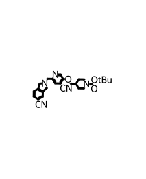 CC(C)(C)OC(=O)N1CCC(COc2cnc(CN3Cc4ccc(C#N)cc4C3)cc2C#N)CC1